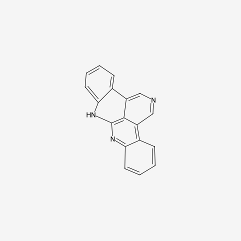 c1ccc2c(c1)Nc1nc3ccccc3c3cncc-2c13